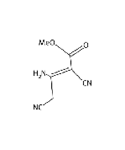 COC(=O)C(C#N)=C(N)CC#N